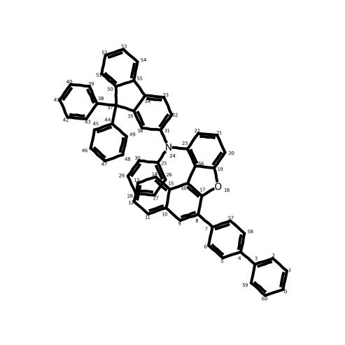 c1ccc(-c2ccc(-c3cc4ccccc4c4c3oc3cccc(N(c5ccccc5)c5ccc6c(c5)C(c5ccccc5)(c5ccccc5)c5ccccc5-6)c34)cc2)cc1